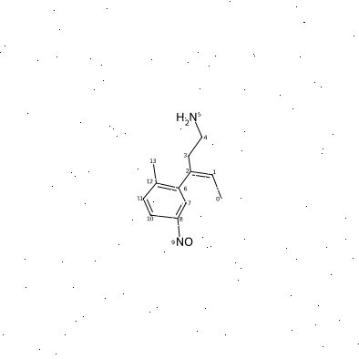 C/C=C(/CCN)c1cc(N=O)ccc1C